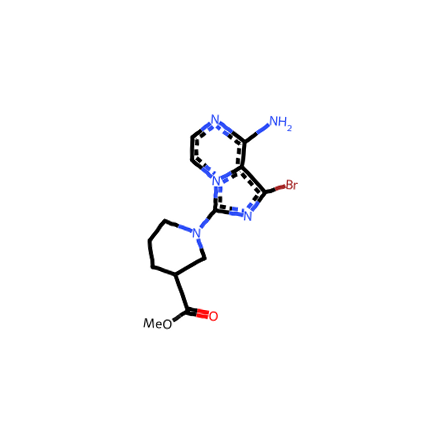 COC(=O)C1CCCN(c2nc(Br)c3c(N)nccn23)C1